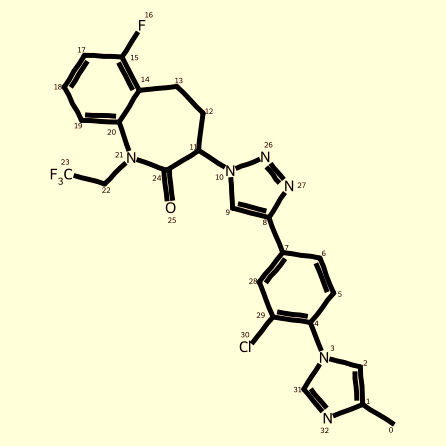 Cc1cn(-c2ccc(-c3cn(C4CCc5c(F)cccc5N(CC(F)(F)F)C4=O)nn3)cc2Cl)cn1